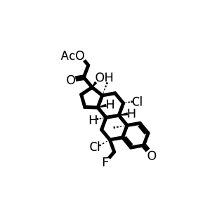 CC(=O)OCC(=O)[C@@]1(O)CC[C@H]2[C@@H]3C[C@](Cl)(CF)C4=CC(=O)C=C[C@]4(C)[C@H]3[C@@H](Cl)C[C@@]21C